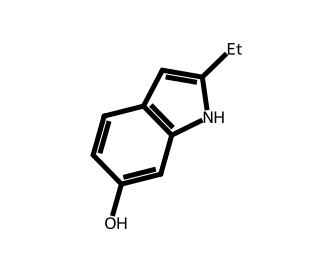 [CH2]Cc1cc2ccc(O)cc2[nH]1